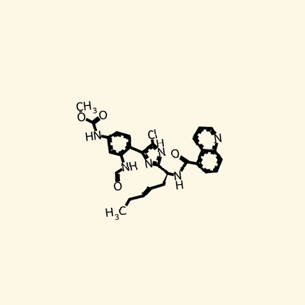 CC/C=C/C[C@H](NC(=O)c1cccc2ncccc12)c1nc(-c2ccc(NC(=O)OC)cc2NC=O)c(Cl)[nH]1